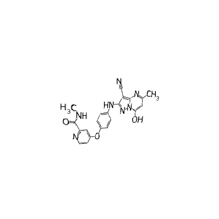 CNC(=O)c1cc(Oc2ccc(Nc3nn4c(O)cc(C)nc4c3C#N)cc2)ccn1